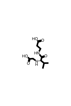 CC(C)[C@H](NCC(=O)O)C(=O)NCCC(=O)O